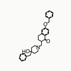 O=C1c2ccc(OCc3ccccc3)cc2CCC1CN1CCC(O)(Cc2ccccc2)CC1